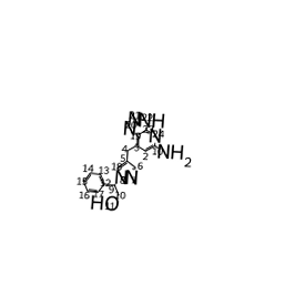 Nc1cc(Cc2cnn(C(CO)c3ccccc3)c2)c2nn[nH]c2n1